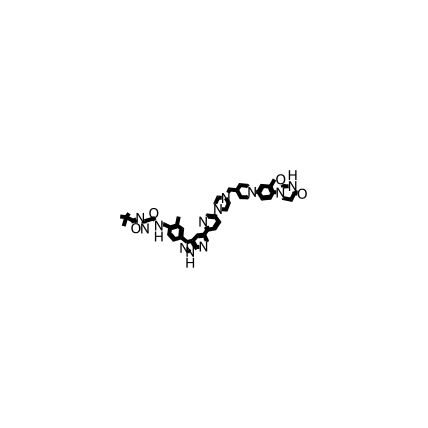 Cc1cc(-c2n[nH]c3ncc(-c4ccc(N5CCN(CC6CCN(c7ccc(N8CCC(=O)NC8=O)c(C)c7)CC6)CC5)cn4)cc23)ccc1CNC(=O)c1noc(C(C)(C)C)n1